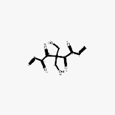 C=CC(=O)C(=O)C(CO)(CO)C(=O)C(=O)C=C